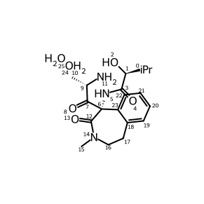 CC(C)[C@H](O)C(=O)N[C@@]1(C(=O)[C@H](C)N)C(=O)N(C)CCc2ccccc21.O.O